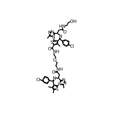 Cc1sc2c(c1C)C(c1ccc(Cl)cc1)=NC(CC(=O)NCCOCCNC(=O)c1sc3c(c1C)C(c1ccc(Cl)cc1)=NC(CC(=O)NCCO)c1nnc(C)n1-3)c1nnc(C)n1-2